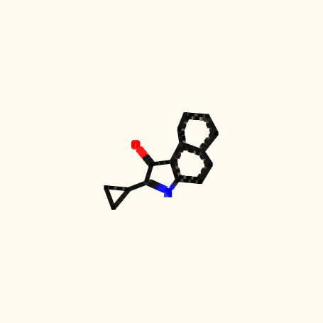 O=C1C(C2CC2)=Nc2ccc3ccccc3c21